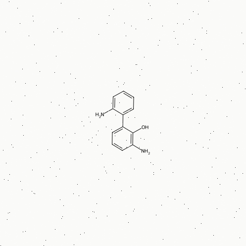 Nc1ccccc1-c1cccc(N)c1O